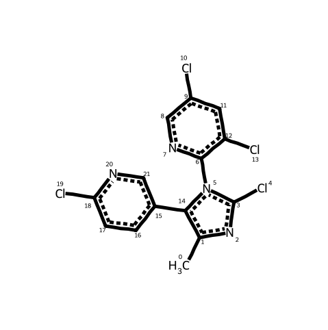 Cc1nc(Cl)n(-c2ncc(Cl)cc2Cl)c1-c1ccc(Cl)nc1